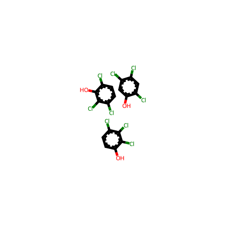 Oc1c(Cl)ccc(Cl)c1Cl.Oc1cc(Cl)c(Cl)cc1Cl.Oc1ccc(Cl)c(Cl)c1Cl